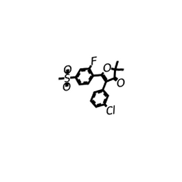 CC1(C)OC(c2ccc(S(C)(=O)=O)cc2F)=C(c2cccc(Cl)c2)C1=O